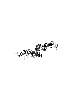 CCC(=O)Nc1cncc(-c2ccc3[nH]nc(-c4nc5c(-c6cc(F)cc(OCCN(C)C)c6)cccc5[nH]4)c3n2)c1